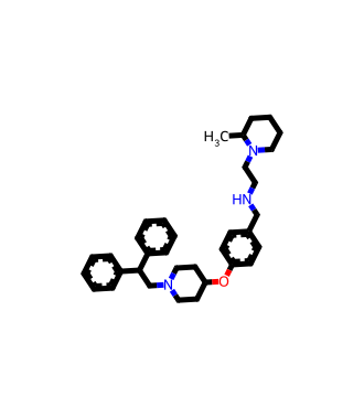 CC1CCCCN1CCNCc1ccc(OC2CCN(CC(c3ccccc3)c3ccccc3)CC2)cc1